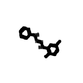 Cc1ccc(C)c(NN=NNc2ccccc2)c1